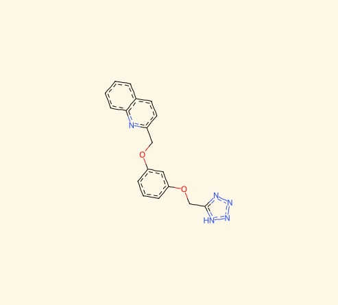 c1cc(OCc2ccc3ccccc3n2)cc(OCc2nnn[nH]2)c1